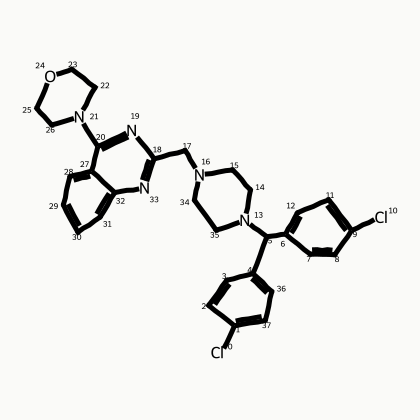 Clc1ccc(C(c2ccc(Cl)cc2)N2CCN(Cc3nc(N4CCOCC4)c4ccccc4n3)CC2)cc1